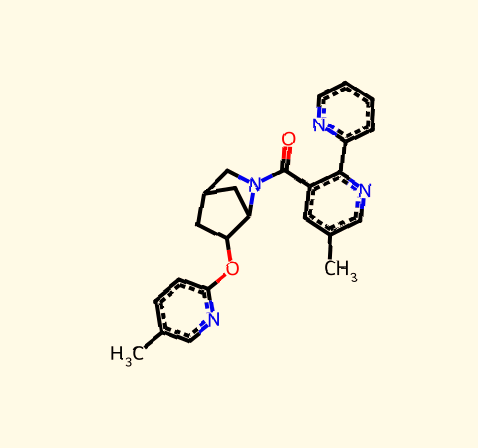 Cc1ccc(OC2CC3CC2N(C(=O)c2cc(C)cnc2-c2ccccn2)C3)nc1